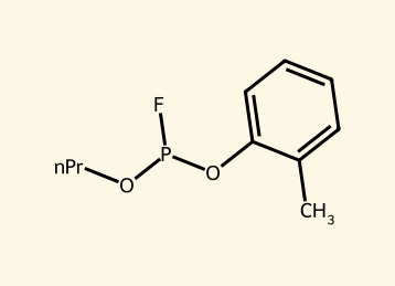 CCCOP(F)Oc1ccccc1C